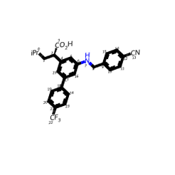 CC(C)C[C@@H](C(=O)O)c1cc(NCc2ccc(C#N)cc2)cc(-c2ccc(C(F)(F)F)cc2)c1